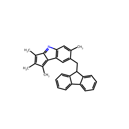 CC1=C(C)C(C)=C2C1=Nc1cc(C)c(CC3c4ccccc4-c4ccccc43)cc12